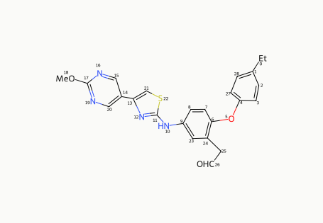 CCc1ccc(Oc2ccc(Nc3nc(-c4cnc(OC)nc4)cs3)cc2CC=O)cc1